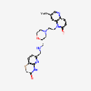 COc1cnc2ccc(=O)n(CCN3CCO[C@@H](CNCc4ccc5c(n4)NC(=O)CS5)C3)c2c1